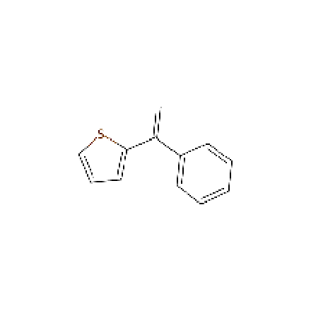 C=C(c1ccccc1)c1cccs1